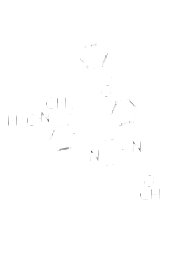 COCCN(Cc1ccc(OCc2ccccc2)cc1)C1CCN(Cc2ccc(N(C)C)cc2)CC1